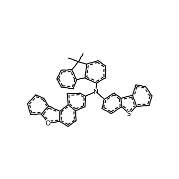 CC1(C)c2ccccc2-c2c(N(c3ccc4c(ccc5oc6ccccc6c54)c3)c3ccc4sc5ccccc5c4c3)cccc21